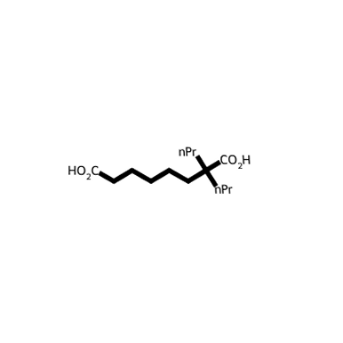 CCCC(CCC)(CCCCCC(=O)O)C(=O)O